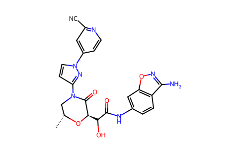 C[C@@H]1CN(c2ccn(-c3ccnc(C#N)c3)n2)C(=O)[C@@H](C(O)C(=O)Nc2ccc3c(N)noc3c2)O1